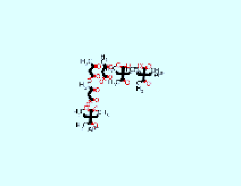 CC(=O)CC(=O)[O-].CC(=O)CC(=O)[O-].CC(=O)CC(=O)[O-].CCC(CC)(C(C)=O)C(=O)[O-].CCC(CC)(C(C)=O)C(=O)[O-].CCC(CC)(C(C)=O)C(=O)[O-].[Al+3].[Al+3]